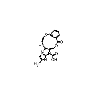 Cc1csc(N(C(=O)O)/C2=C/OC(=O)C3=CC=CC/C3=C\S/C=C\NC2=O)n1